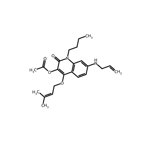 C=CCNc1ccc2c(OCC=C(C)C)c(OC(C)=O)c(=O)n(CCCC)c2c1